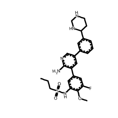 CCCS(=O)(=O)Nc1cc(-c2cc(-c3cccc(C4CCNCN4)c3)cnc2N)cc(F)c1OC